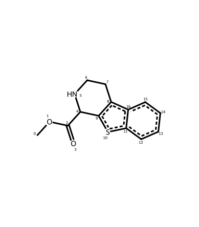 COC(=O)C1NCCc2c1sc1ccccc21